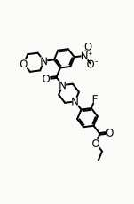 CCOC(=O)c1ccc(N2CCN(C(=O)c3cc([N+](=O)[O-])ccc3N3CCOCC3)CC2)c(F)c1